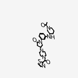 CC(=O)N1CCCC(Nc2cccc(N3CC(N4CCN(C(=O)c5nccs5)CC4)CC3=O)c2)C1